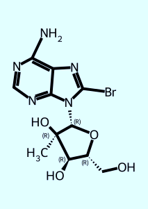 C[C@@]1(O)[C@H](O)[C@@H](CO)O[C@H]1n1c(Br)nc2c(N)ncnc21